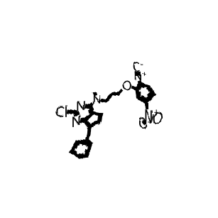 [C-]#[N+]c1ccc([N+](=O)[O-])cc1OCCCN(C)c1nc(Cl)nc2c1CCC2c1ccccc1